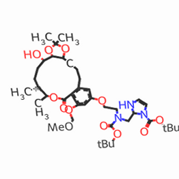 COCOc1cc(OCCN(CC2NC=CN2C(=O)OC(C)(C)C)C(=O)OC(C)(C)C)cc2c1C(=O)OC(C)[C@H](C)CCC(O)C1OC(C)(C)OC1CCC2